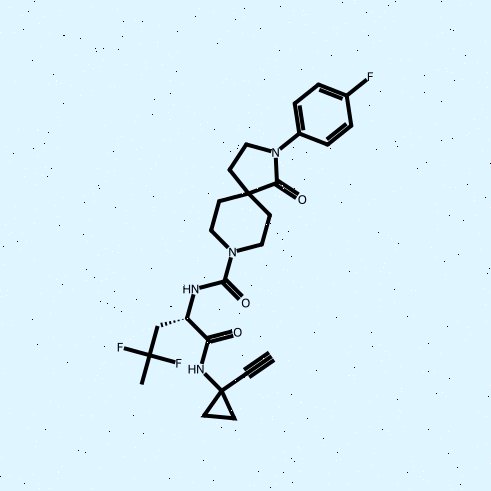 C#CC1(NC(=O)[C@H](CC(C)(F)F)NC(=O)N2CCC3(CC2)CCN(c2ccc(F)cc2)C3=O)CC1